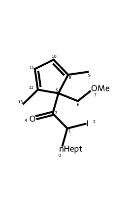 CCCCCCCC(I)C(=O)C1(COC)C(C)=CC=C1C